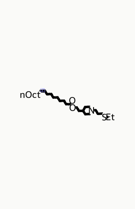 CCCCCCCC/C=C\CCCCCCCC(=O)OCCC1CCN(CCCSCC)CC1